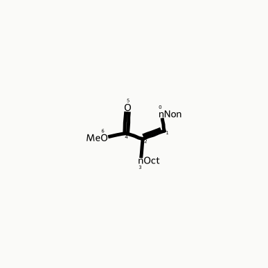 CCCCCCCCCC=C(CCCCCCCC)C(=O)OC